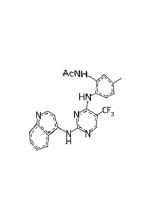 CC(=O)Nc1cc(C)ccc1Nc1nc(Nc2ccnc3ccccc23)ncc1C(F)(F)F